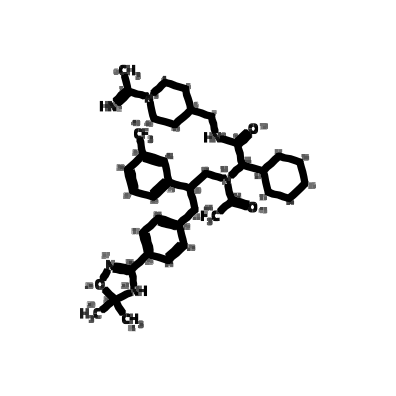 CC(=N)N1CCC(CNC(=O)C(C2CCCCC2)N(CC(Cc2ccc(C3=NOC(C)(C)N3)cc2)c2cccc(C(F)(F)F)c2)C(=O)C(F)(F)F)CC1